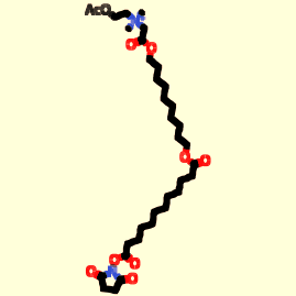 CC(=O)OCC[N+](C)(C)CC(=O)OCCCCCCCCCCOC(=O)CCCCCCCCCCC(=O)ON1C(=O)CCC1=O